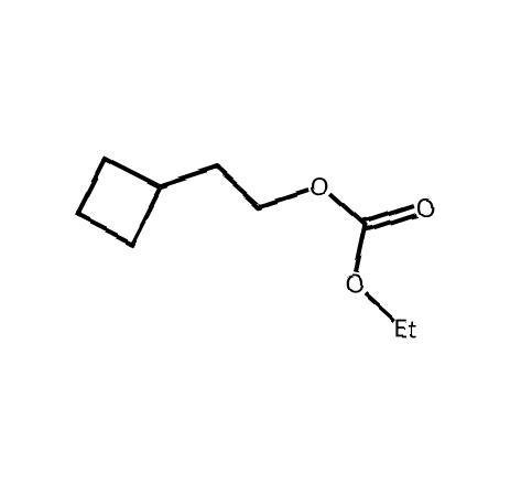 [CH2]COC(=O)OCCC1CCC1